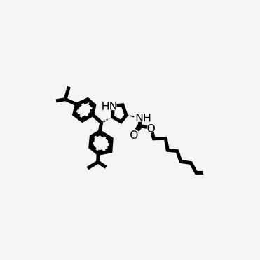 CCCCCCCCOC(=O)N[C@H]1CN[C@@H](C(c2ccc(C(C)C)cc2)c2ccc(C(C)C)cc2)C1